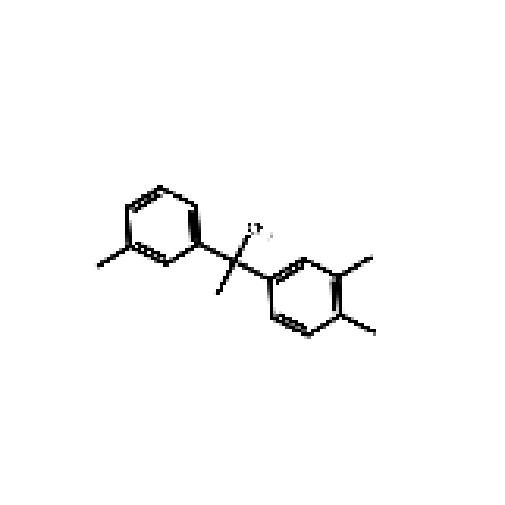 Cc1cccc(C(C)(c2ccc(C)c(C)c2)C(F)(F)F)c1